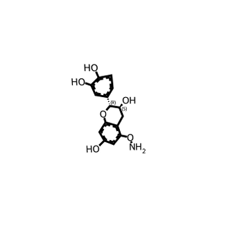 NOc1cc(O)cc2c1C[C@H](O)[C@@H](c1ccc(O)c(O)c1)O2